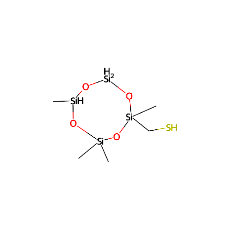 C[SiH]1O[SiH2]O[Si](C)(CS)O[Si](C)(C)O1